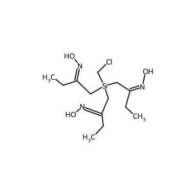 CCC(C[Si](CCl)(CC(CC)=NO)CC(CC)=NO)=NO